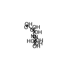 O=C(O)CCCO[C@@H](CO)[C@@H](O)Cc1cnc([C@@H](O)[C@H](O)[C@H](O)CO)cn1